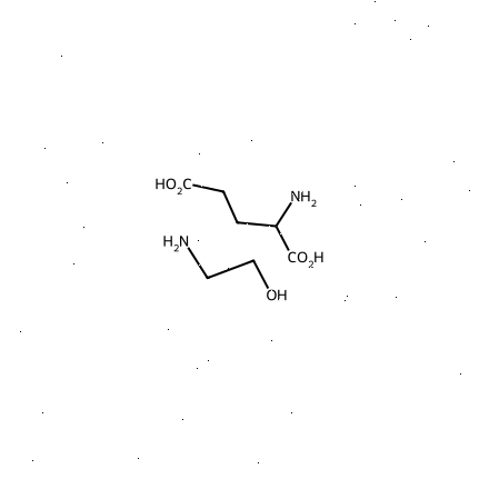 NC(CCC(=O)O)C(=O)O.NCCO